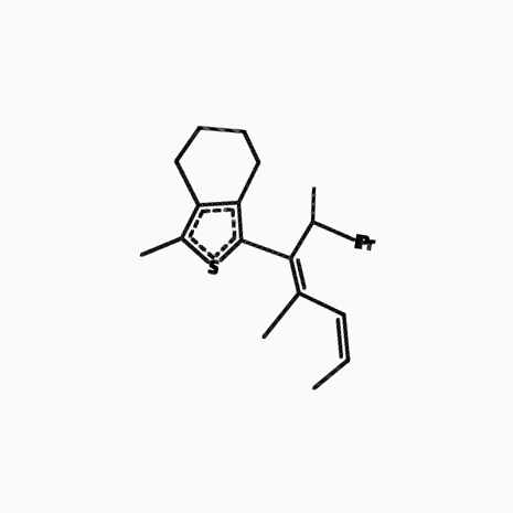 C/C=C\C(C)=C(\c1sc(C)c2c1CCCC2)C(C)C(C)C